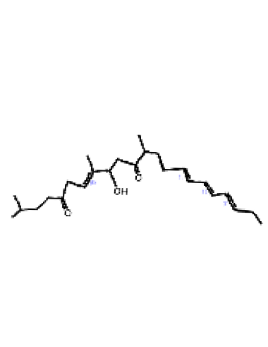 CC/C=C/C=C/C=C/CCC(C)C(=O)CC(O)/C(C)=C/CC(=O)CCC(C)C